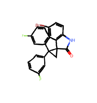 O=C1Nc2ccc(Br)cc2C12CC2(c1cccc(F)c1)c1cccc(F)c1